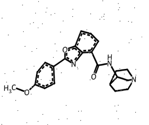 COc1ccc(-c2nc3c(C(=O)NC4CN5CCC4CC5)cccc3o2)cc1